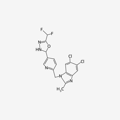 Cc1nc2cc(Cl)c(Cl)cc2n1Cc1ccc(C2NN=C(C(F)F)O2)cn1